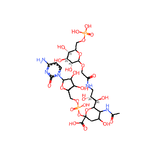 CC(=O)NC1C(O)CC(OP(=O)(O)OCC2OC(n3ccc(N)nc3=O)C(O)C2O)(C(=O)O)OC1[C@H](O)[C@H](O)CNC(=O)COC1OC(COP(=O)(O)O)[C@@H](O)[C@H](O)[C@H]1O